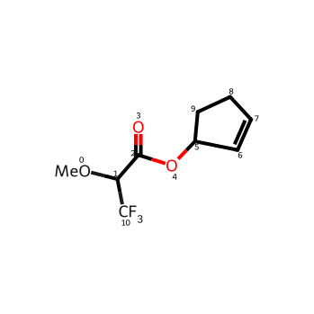 COC(C(=O)OC1C=CCC1)C(F)(F)F